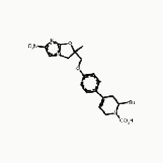 CC1(COc2ccc(C3=CCN(C(=O)O)C(C(C)(C)C)C3)cc2)Cn2cc([N+](=O)[O-])nc2O1